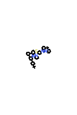 CC(C)(C)c1ccc(-c2ccc3c(c2)N(c2ccccn2)c2cc(Sc4cccc(-n5c[n+]6c7c(cccc75)C(C)(C)c5ccccc5-6)c4)ccc2-c2ccccc2-3)cc1